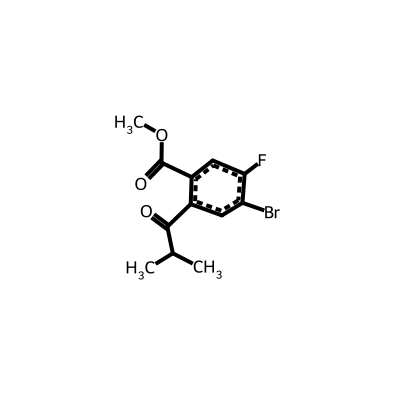 COC(=O)c1cc(F)c(Br)cc1C(=O)C(C)C